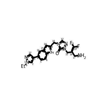 CCn1cc(-c2ccc3sc(Cn4cnn(CC(CN)=C(F)F)c4=O)cc3c2)cn1